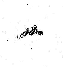 CN1CCN(C(=O)C2CCCN(c3nc(-c4ccncc4)cc(=O)n3C)C2)CC1